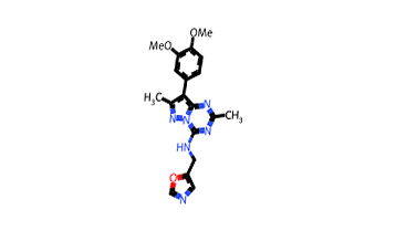 COc1ccc(-c2c(C)nn3c(NCc4cnco4)nc(C)nc23)cc1OC